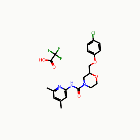 Cc1cc(C)nc(NC(=O)N2CCOC(COc3ccc(Cl)cc3)C2)c1.O=C(O)C(F)(F)F